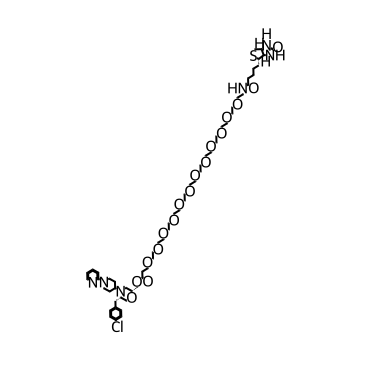 O=C(CCCC[C@@H]1SC[C@@H]2NC(=O)N[C@@H]21)NCCOCCOCCOCCOCCOCCOCCOCCOCCOCCOCCOCCOCCC(=O)OC[C@H]1CN(C2CCN(c3ccccn3)CC2)[C@@H](Cc2ccc(Cl)cc2)CO1